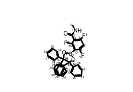 CNC(=O)c1c(F)cc(F)c(B2OC(c3ccccc3)(c3ccccc3)C(c3ccccc3)(c3ccccc3)O2)c1F